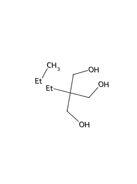 CCC.CCC(CO)(CO)CO